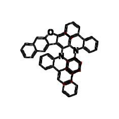 c1ccc(-c2ccc(N(c3ccccc3-c3ccccc3)c3ccc4oc5cc6ccccc6cc5c4c3N(c3ccccc3)c3ccccc3-c3ccccc3)cc2)cc1